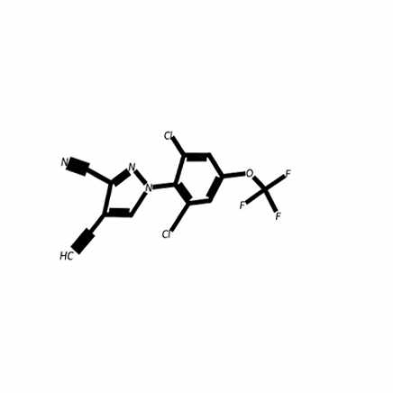 C#Cc1cn(-c2c(Cl)cc(OC(F)(F)F)cc2Cl)nc1C#N